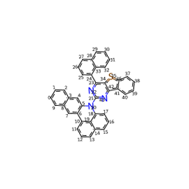 c1ccc2cc3c(cc2c1)-c1cccc2cccc(c12)N3c1nc(-c2cccc3ccccc23)c2sc3ccccc3c2n1